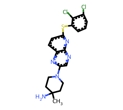 CC1(N)CCN(c2cnc3nc(Sc4cccc(Cl)c4Cl)ccc3n2)CC1